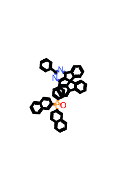 O=P(c1ccc(-c2nc(-c3ccccc3)nc3c2C2(c4ccccc4-c4ccccc42)c2ccccc2-3)cc1)(c1ccc2ccccc2c1)c1ccc2ccccc2c1